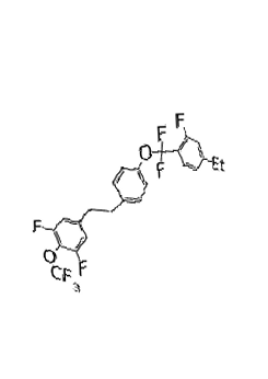 CCc1ccc(C(F)(F)Oc2ccc(CCc3cc(F)c(OC(F)(F)F)c(F)c3)cc2)c(F)c1